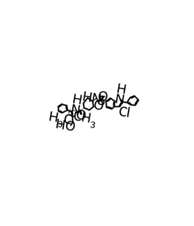 CC(C)(CO)[C@@H](NC(=O)[C@H]1CC[C@H](NS(=O)(=O)c2ccc3c(Cl)c(-c4ccccc4)[nH]c3c2)CC1)c1ccccc1